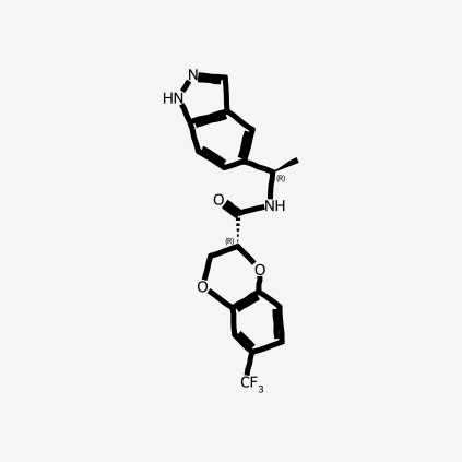 C[C@@H](NC(=O)[C@H]1COc2cc(C(F)(F)F)ccc2O1)c1ccc2[nH]ncc2c1